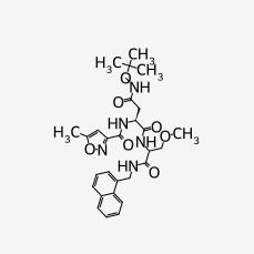 COCC(NC(=O)[C@H](CC(=O)NOC(C)(C)C)NC(=O)c1cc(C)on1)C(=O)NCc1cccc2ccccc12